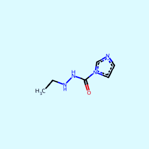 CCNNC(=O)n1ccnc1